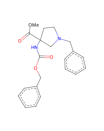 COC(=O)C1(NC(=O)OCc2ccccc2)CCN(Cc2ccccc2)C1